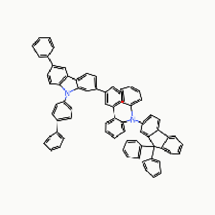 c1ccc(-c2ccc(-n3c4ccc(-c5ccccc5)cc4c4ccc(-c5cccc(-c6ccccc6N(c6ccccc6)c6ccc7c(c6)C(c6ccccc6)(c6ccccc6)c6ccccc6-7)c5)cc43)cc2)cc1